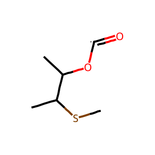 CSC(C)C(C)O[C]=O